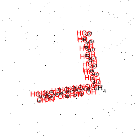 C.O=C(O)O.O=C(O)O.O=C(O)O.O=C(O)O.O=C(O)O.O=C(O)O.O=C(O)O.O=C(O)O.O=C(O)O.O=C(O)O.O=C(O)O.O=C(O)O.O=C(O)O.O=C(O)O.O=C(O)O